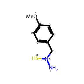 COc1ccc(CN(N)S)cc1